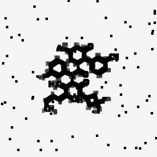 C=C(/C(Cl)=C\C=C/C)[C@@H](C(=O)NC1CC(F)(F)C1)N(C(=O)[C@@H]1CN(C(C)=O)CC(=O)N1c1cc(C#N)ccn1)c1cccc(F)c1